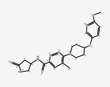 COc1ccc(OC2CCN(c3nnc(C(=O)NC4CNC(=O)C4)cc3C)CC2)cn1